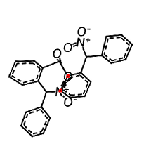 O=C(c1ccccc1C(c1ccccc1)[N+](=O)[O-])c1ccccc1C(c1ccccc1)[N+](=O)[O-]